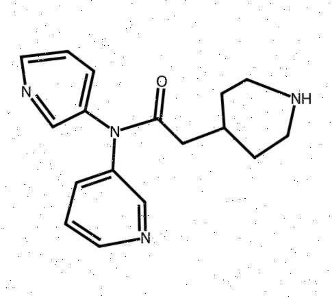 O=C(CC1CCNCC1)N(c1cccnc1)c1cccnc1